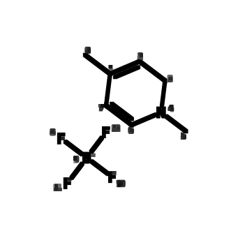 CC1=CCN(C)C=C1.F[B-](F)(F)F